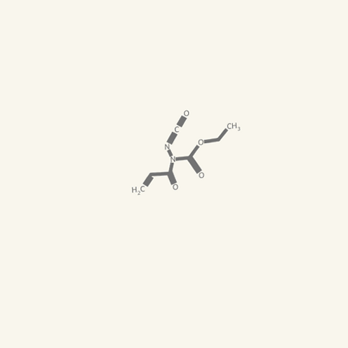 C=CC(=O)N(N=C=O)C(=O)OCC